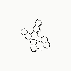 c1ccc2nc(-n3c4ccc5cccc6oc7cccc8ccc3c(c87)c4c56)c(-c3cccc4ccccc34)cc2c1